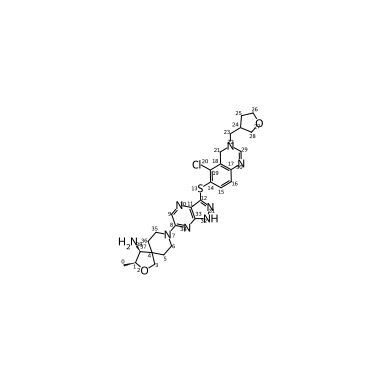 C[C@@H]1OCC2(CCN(c3cnc4c(Sc5ccc6c(c5Cl)CN(CC5CCOC5)C=N6)n[nH]c4n3)CC2)[C@@H]1N